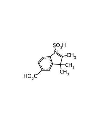 CC1=[N+](S(=O)(=O)O)c2ccc(C(=O)O)cc2C1(C)C